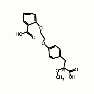 CO[C@@H](Cc1ccc(OCCOc2ccccc2C(=O)O)cc1)C(=O)O